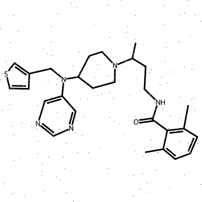 Cc1cccc(C)c1C(=O)NCCC(C)N1CCC(N(Cc2ccsc2)c2cncnc2)CC1